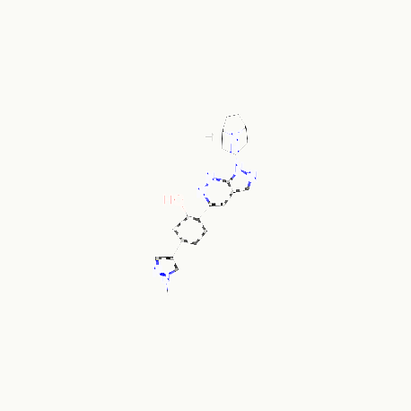 Cn1cc(-c2ccc(-c3cc4cnn([C@H]5CC6CC[C@H](C5)N6)c4nn3)c(O)c2)cn1